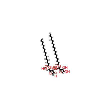 CCCCCCCCCCCCCCCC(=O)O[C@H](CO)[C@H]1OC[C@H](O)[C@H]1O.CCCCCCCCCCCCCCCCCC(=O)O[C@H](CO)[C@H]1OC[C@H](O)[C@H]1O